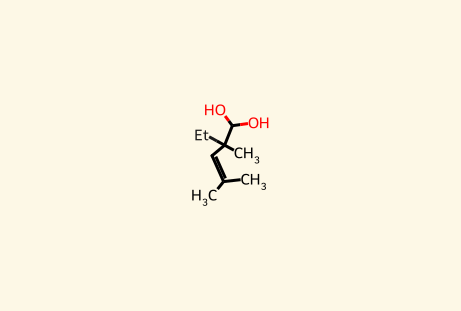 CCC(C)(C=C(C)C)C(O)O